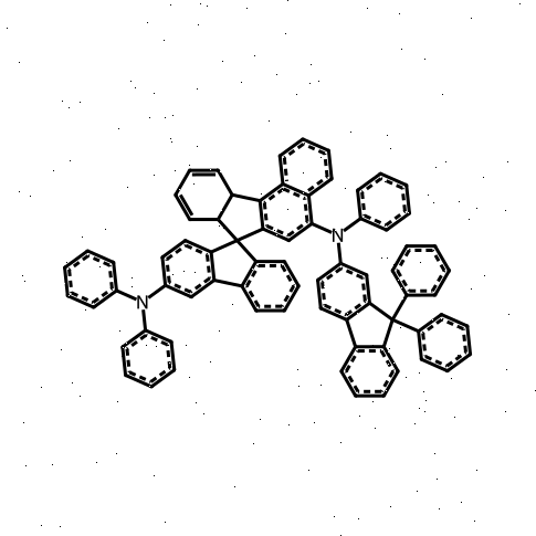 C1=CC2c3c(cc(N(c4ccccc4)c4ccc5c(c4)C(c4ccccc4)(c4ccccc4)c4ccccc4-5)c4ccccc34)C3(c4ccccc4-c4cc(N(c5ccccc5)c5ccccc5)ccc43)C2C=C1